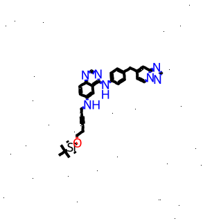 CC(C)(C)[Si](C)(C)OCCC#CCNc1ccc2ncnc(Nc3ccc(Cc4ccn5ncnc5c4)cc3)c2c1